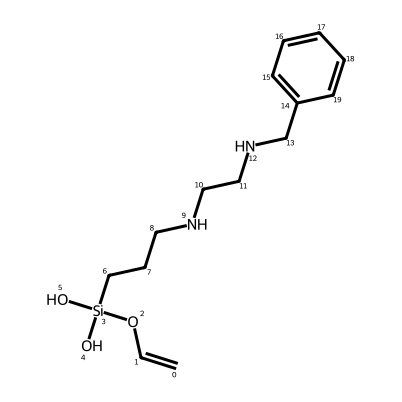 C=CO[Si](O)(O)CCCNCCNCc1ccccc1